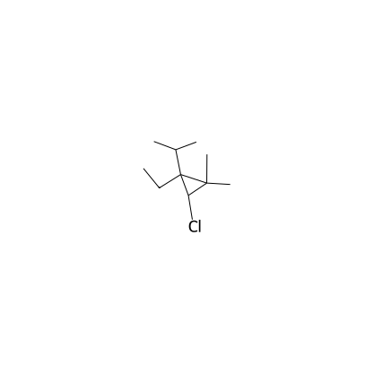 CCC1(C(C)C)C(Cl)C1(C)C